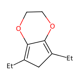 CCC1=C2OCCOC2=C(CC)C1